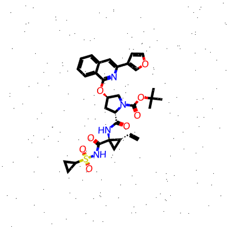 C=C[C@@H]1C[C@]1(NC(=O)[C@@H]1C[C@@H](Oc2nc(-c3ccoc3)cc3ccccc23)CN1C(=O)OC(C)(C)C)C(=O)NS(=O)(=O)C1CC1